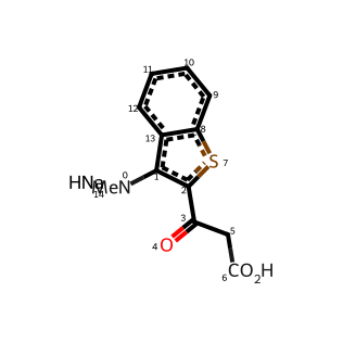 CNc1c(C(=O)CC(=O)O)sc2ccccc12.[NaH]